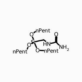 CCCCCO[Si](CNC(N)=O)(OCCCCC)OCCCCC